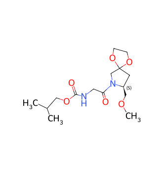 COC[C@@H]1CC2(CN1C(=O)CNC(=O)OCC(C)C)OCCO2